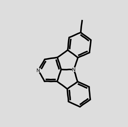 Cc1ccc2c(c1)c1cncc3c4ccccc4n2c31